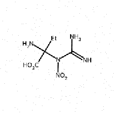 CCC(N)(C(=O)O)N(C(=N)N)[N+](=O)[O-]